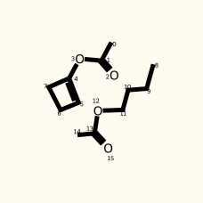 CC(=O)OC1=CCC1.CCCCOC(C)=O